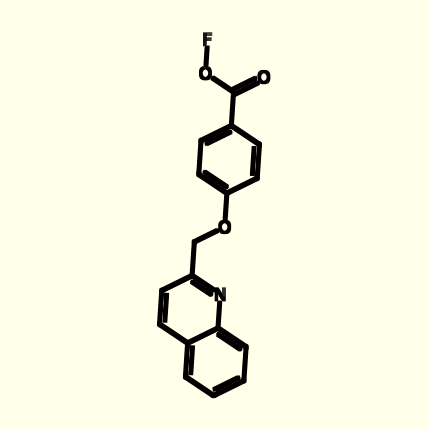 O=C(OF)c1ccc(OCc2ccc3ccccc3n2)cc1